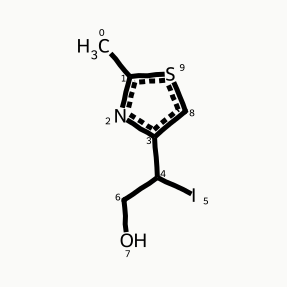 Cc1nc(C(I)CO)cs1